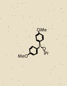 COc1ccc(P(OC(C)C)c2ccc(OC)cc2)cc1